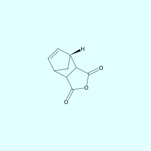 O=C1OC(=O)C2C1C1C=C[C@H]2C1